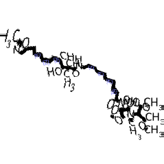 COC(=O)C(C(C)OC)N(C)C(=O)C1(N(O)C(=O)/C=C/C=C/C=C/C=C\CNC(=O)C(C)(C)C(O)\C(C)=C/C=C\C=C\Cc2cnc(C)o2)COCO1